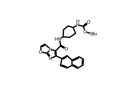 CC(C)(C)OC(=O)NC1CCC(NC(=O)c2c(-c3ccc4ccccc4c3)nc3occn23)CC1